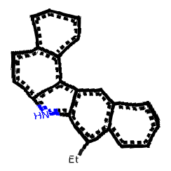 CCc1c2ccccc2cc2c1[nH]c1ccc3ccccc3c12